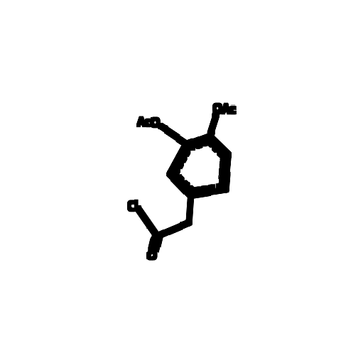 CC(=O)Oc1ccc(CC(=O)Cl)cc1OC(C)=O